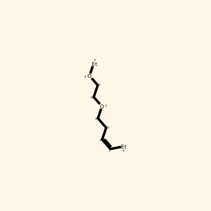 CC/C=C\CCOCCOCC